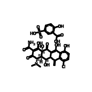 C=C1c2c(Cl)ccc(O)c2C(O)=C2C(=O)[C@]3(O)C(O)=C(C(N)=O)C(=O)[C@@H](N(C)C)[C@@H]3[C@@H](O)C12.O=C(O)c1cc(S(=O)(=O)O)ccc1O